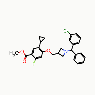 COC(=O)c1cc(C2CC2)c(OCC2CN(C(c3ccccc3)c3cccc(Cl)c3)C2)cc1F